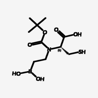 CC(C)(C)OC(=O)N(CCB(O)O)[C@@H](CS)C(=O)O